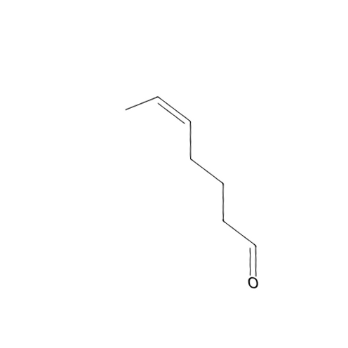 C/C=C\CCCC=O